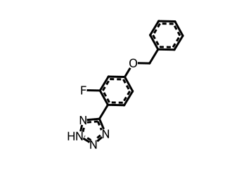 Fc1cc(OCc2ccccc2)ccc1-c1nn[nH]n1